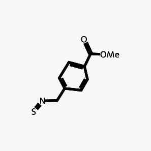 COC(=O)c1ccc(CN=S)cc1